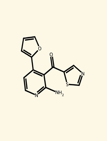 Nc1nccc(-c2ccco2)c1C(=O)c1cncs1